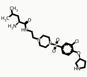 CC(C)C[C@H](N)C(=O)NCCN1CCN(S(=O)(=O)c2ccc(O[C@H]3CCNC3)c(Cl)c2)CC1